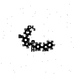 CN1CCN(c2cc3c(cc2Br)CCN3C(=O)Nc2ccc(-c3cnc4ccccc4c3)cc2)CC1